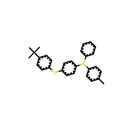 Cc1ccc([S+](c2ccccc2)c2ccc(Sc3ccc(C(C)(C)C)cc3)cc2)cc1